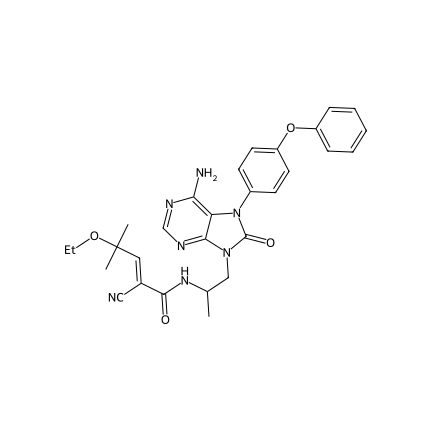 CCOC(C)(C)C=C(C#N)C(=O)NC(C)Cn1c(=O)n(-c2ccc(Oc3ccccc3)cc2)c2c(N)ncnc21